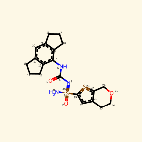 N[S@@](=O)(=NC(=O)Nc1c2c(cc3c1CCC3)CCC2)c1cc2c(s1)COCC2